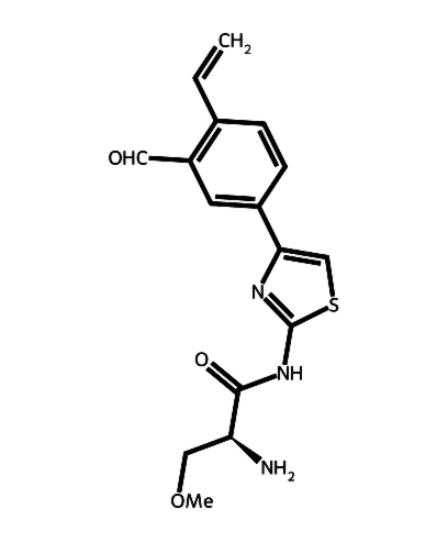 C=Cc1ccc(-c2csc(NC(=O)[C@@H](N)COC)n2)cc1C=O